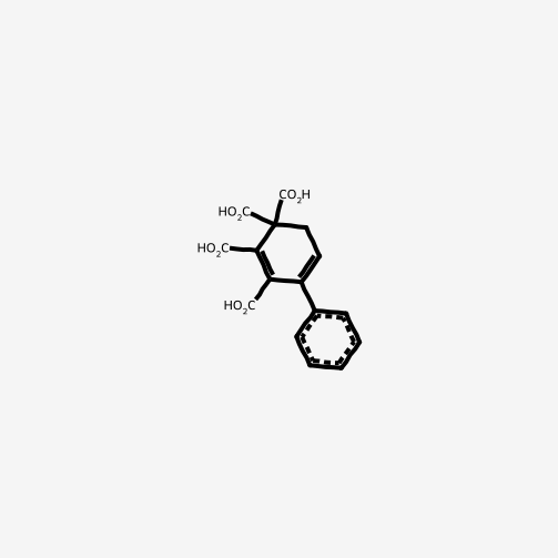 O=C(O)C1=C(C(=O)O)C(C(=O)O)(C(=O)O)CC=C1c1ccccc1